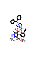 C#Cc1cccc(C2C(C(=O)OC(C)N3CCN(C(c4ccccc4)c4ccccc4)CC3)=C(C)NC(C#N)=C2C(=O)OC(C)C)c1